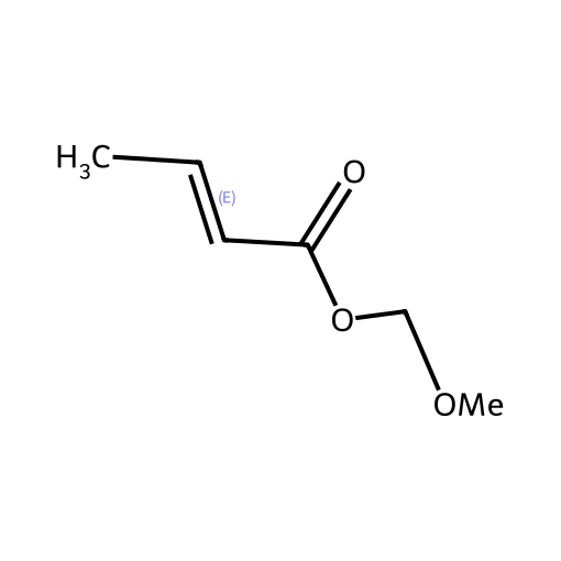 C/C=C/C(=O)OCOC